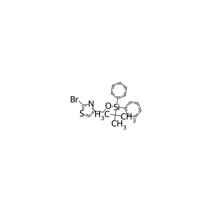 CC(C)(C)[Si](OCc1csc(Br)n1)(c1ccccc1)c1ccccc1